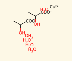 CC(O)C(=O)[O-].CC(O)C(=O)[O-].O.O.O.O.O.[Ca+2]